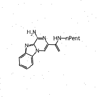 C=C(NCCCCC)c1cn2c(nc3ccccc32)c(N)n1